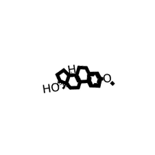 COc1ccc2c(c1)CCC1=C2CC[C@]2(C)[C@@H](O)CC[C@@H]12